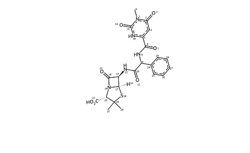 Cn1c(=O)cc(C(=O)NC(C(=O)N[C@@H]2C(=O)N3[C@@H]2SC(C)(C)[C@@H]3C(=O)O)c2ccccc2)[nH]c1=O